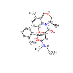 COc1cccc([C@@H]2C=C(C)C3=COC[C@@H](C(C)(C)C)N4C(=O)[C@@H](CC(=O)N(C)CC(=O)O)OC2=C34)c1OC